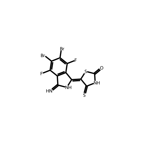 N=C1N/C(=C2/SC(=O)NC2=S)c2c(F)c(Br)c(Br)c(F)c21